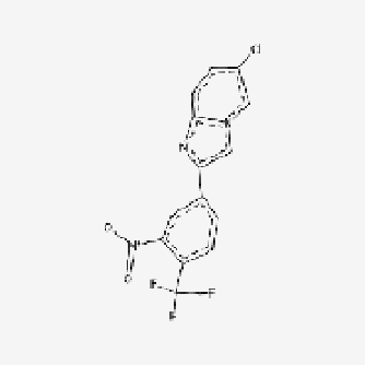 O=[N+]([O-])c1cc(-c2cn3cc(Cl)ccc3n2)ccc1C(F)(F)F